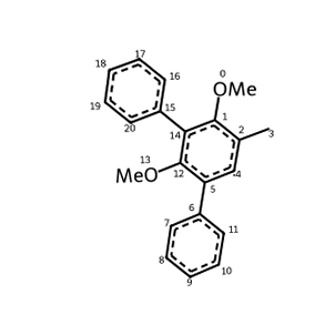 COc1c(C)[c]c(-c2ccccc2)c(OC)c1-c1ccccc1